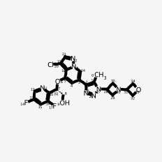 Cc1c(-c2cc(O[C@H](CO)c3ncc(F)cc3F)c3c(Cl)cnn3c2)nnn1C1CN(C2COC2)C1